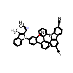 C/C=C\c1c(C)c2ccccc2n1-c1ccc(-c2ccccc2-c2ccccc2-n2c3ccc(C#N)cc3c3ccc(C#N)cc32)c(C#N)c1